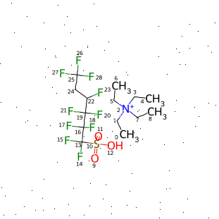 CC[N+](CC)(CC)CC.O=S(=O)(O)C(F)(F)C(F)(F)C(F)(F)C(F)CC(F)(F)F